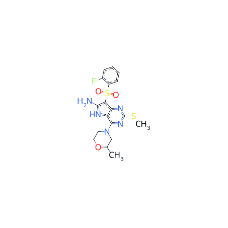 CSc1nc(N2CCOC(C)C2)c2[nH]c(N)c(S(=O)(=O)c3ccccc3F)c2n1